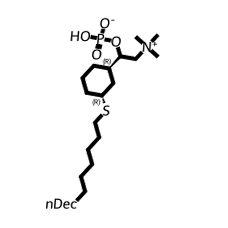 CCCCCCCCCCCCCCCCS[C@@H]1CCC[C@@H](C(C[N+](C)(C)C)OP(=O)([O-])O)C1